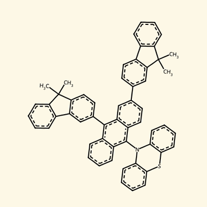 CC1(C)c2ccccc2-c2cc(-c3c4ccccc4c(N4c5ccccc5Sc5ccccc54)c4ccc(-c5ccc6c(c5)C(C)(C)c5ccccc5-6)cc34)ccc21